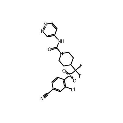 N#Cc1ccc(S(=O)(=O)C(F)(F)C2CCN(C(=O)Nc3ccnnc3)CC2)c(Cl)c1